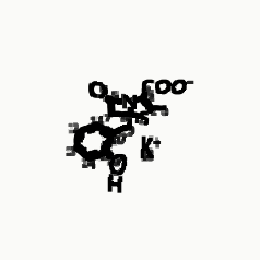 CC1=C(C(=O)[O-])N2C(=O)C[C@@]2(Cc2ccccc2O)S1.[K+]